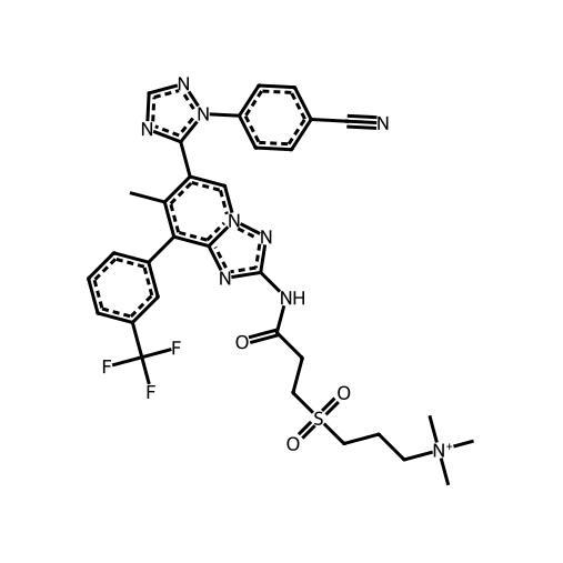 Cc1c(-c2ncnn2-c2ccc(C#N)cc2)cn2nc(NC(=O)CCS(=O)(=O)CCC[N+](C)(C)C)nc2c1-c1cccc(C(F)(F)F)c1